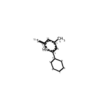 Cc1cc(C2CCCCC2)[nH]c(=S)c1